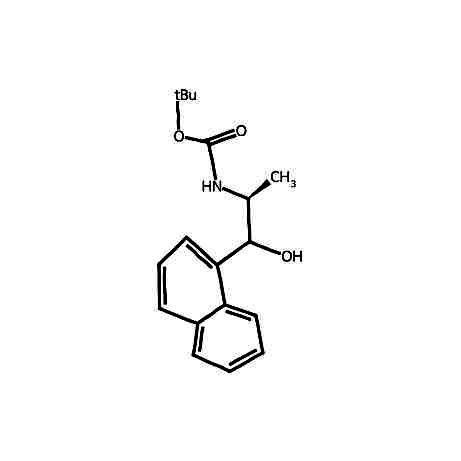 C[C@H](NC(=O)OC(C)(C)C)C(O)c1cccc2ccccc12